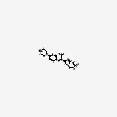 O=c1oc2cc(N3CCNCC3)ccc2cc1-c1cn2ccc(F)cc2n1